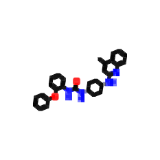 Cc1cc(N[C@H]2CC[C@@H](NC(=O)Nc3ccccc3Oc3ccccc3)CC2)nc2ccccc12